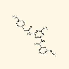 COc1cccc(C(=O)Nc2nc(C)nc(NC(=O)Cc3ccc(C)cc3)n2)c1